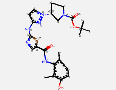 Cc1ccc(O)c(C)c1NC(=O)c1cnc(Nc2ccn([C@@H]3CCN(C(=O)OC(C)(C)C)C3)n2)s1